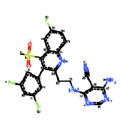 CS(=O)(=O)c1c(-c2cc(F)cc(F)c2)c(CCNc2ncnc(N)c2C#N)nc2ccc(F)cc12